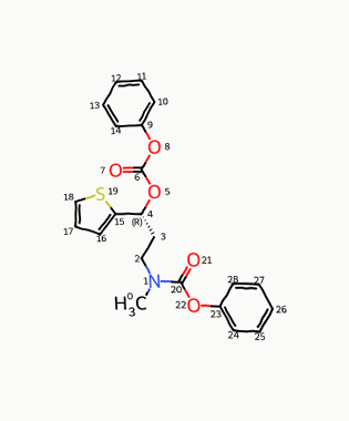 CN(CC[C@@H](OC(=O)Oc1ccccc1)c1cccs1)C(=O)Oc1ccccc1